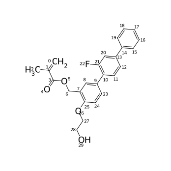 C=C(C)C(=O)OCc1cc(-c2ccc(-c3ccccc3)cc2F)ccc1OCCO